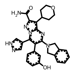 NC(=O)c1nn2c(-c3cn[nH]c3)c(-c3cccc(O)c3)c(N3Cc4ccccc4C3)nc2c1C1CCOCC1